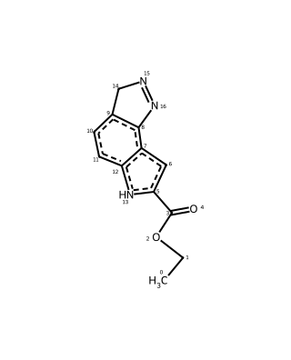 CCOC(=O)c1cc2c3c(ccc2[nH]1)CN=N3